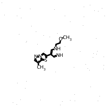 COCCN/C=C(\C=N)c1cn2ncc(C)c2s1